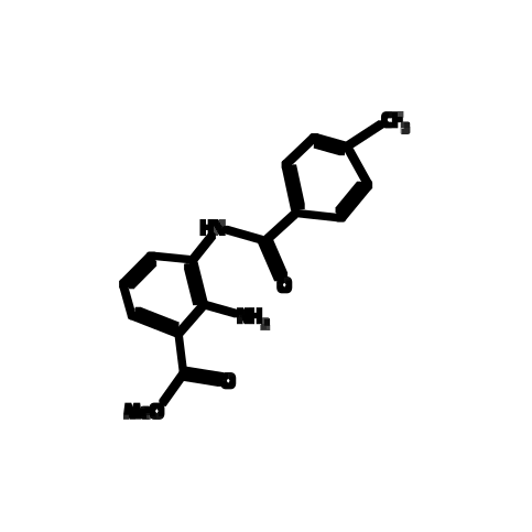 COC(=O)c1cccc(NC(=O)c2ccc(C(F)(F)F)cc2)c1N